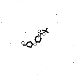 CC(C)(C)OC(=O)N1CCC(OC2CCC(C=O)CC2)CC1